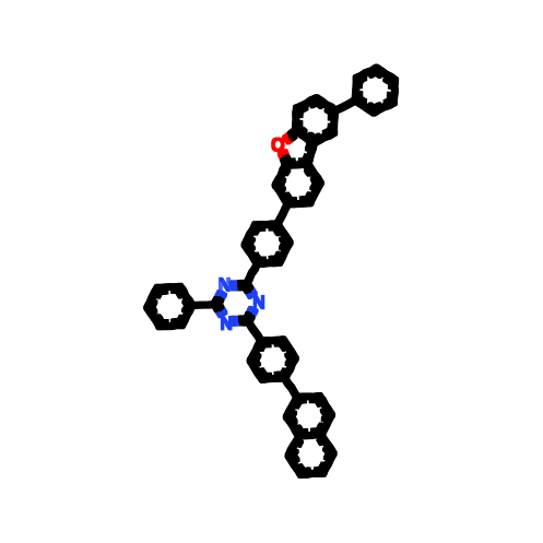 c1ccc(-c2ccc3oc4cc(-c5ccc(-c6nc(-c7ccccc7)nc(-c7ccc(-c8ccc9ccccc9c8)cc7)n6)cc5)ccc4c3c2)cc1